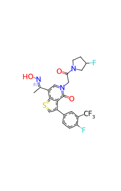 C/C(=N\O)c1cn(CC(=O)N2CCC(F)C2)c(=O)c2c(-c3ccc(F)c(C(F)(F)F)c3)csc12